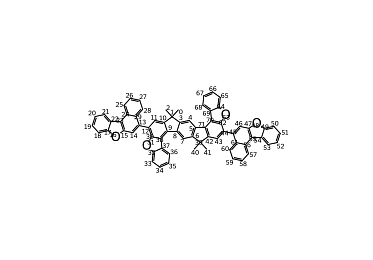 CC1(C)c2cc3c(cc2-c2c1cc(-c1cc4oc5ccccc5c4c4ccccc14)c1oc4ccccc4c21)C(C)(C)c1cc(-c2cc4oc5ccccc5c4c4ccccc24)c2oc4ccccc4c2c1-3